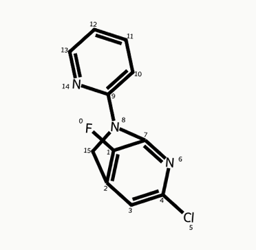 Fc1c2cc(Cl)nc1N(c1ccccn1)C2